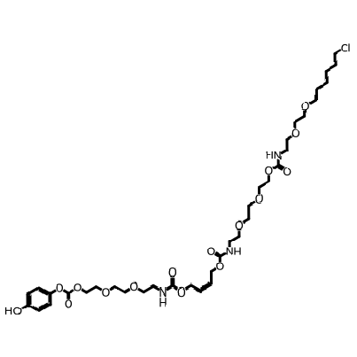 O=C(NCCOCCOCCOC(=O)NCCOCCOCCCCCCCl)OC/C=C\COC(=O)NCCOCCOCCOC(=O)Oc1ccc(O)cc1